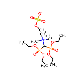 CCOP(=O)(OCC)C([N+](C)(C)C)P(=O)(OCC)OCC.COS(=O)(=O)[O-]